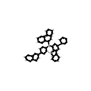 c1ccc(-c2cc(N(c3ccc(-c4ccc5ccccc5c4)cc3)c3cc4ccccc4c4ccccc34)c3sc4ccccc4c3c2)cc1